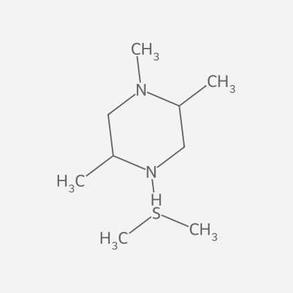 CC1CN([SH](C)C)C(C)CN1C